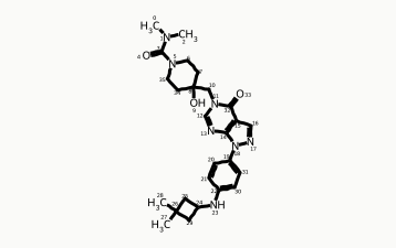 CN(C)C(=O)N1CCC(O)(Cn2cnc3c(cnn3-c3ccc(NC4CC(C)(C)C4)cc3)c2=O)CC1